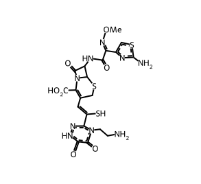 CON=C(C(=O)NC1C(=O)N2C(C(=O)O)=C(C=C(S)c3n[nH]c(=O)c(=O)n3CCN)CSC12)c1csc(N)n1